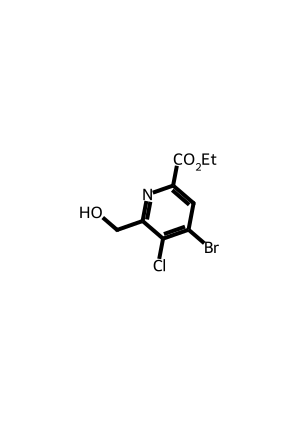 CCOC(=O)c1cc(Br)c(Cl)c(CO)n1